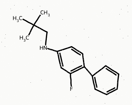 CC(C)(C)CNc1ccc(-c2ccccc2)c(F)c1